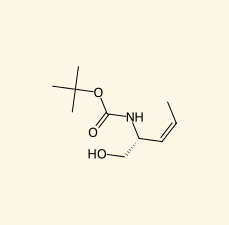 C/C=C\[C@H](CO)NC(=O)OC(C)(C)C